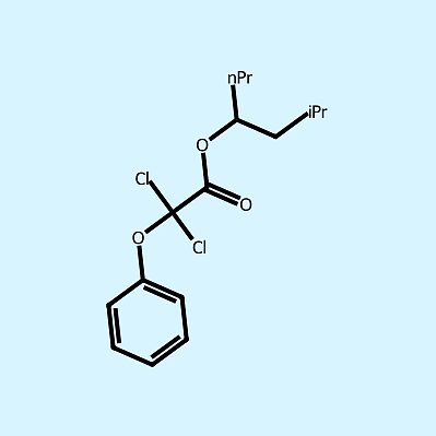 CCCC(CC(C)C)OC(=O)C(Cl)(Cl)Oc1ccccc1